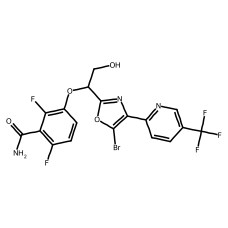 NC(=O)c1c(F)ccc(OC(CO)c2nc(-c3ccc(C(F)(F)F)cn3)c(Br)o2)c1F